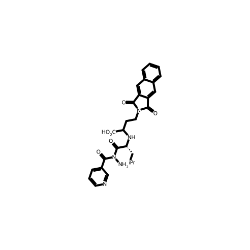 CC(C)C[C@@H](NC(CCN1C(=O)c2cc3ccccc3cc2C1=O)C(=O)O)C(=O)N(N)C(=O)c1cccnc1